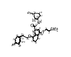 COCCOc1cc(C(=O)N[C@@H]2CCCN(C(C)C)C2)nc2c(OCCc3ccc(F)cc3)cccc12